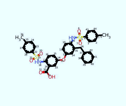 Cc1ccc(S(=O)(=O)Nc2ccc(Oc3ccc(NS(=O)(=O)c4ccc(C)cc4)c(C(=O)O)c3)cc2Cc2ccccc2)cc1